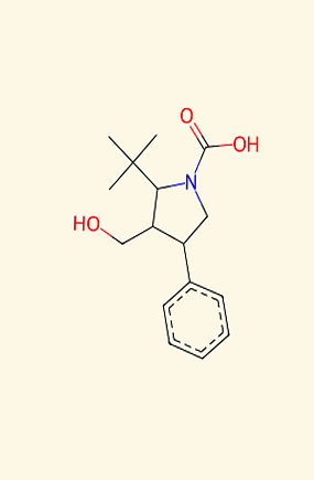 CC(C)(C)C1C(CO)C(c2ccccc2)CN1C(=O)O